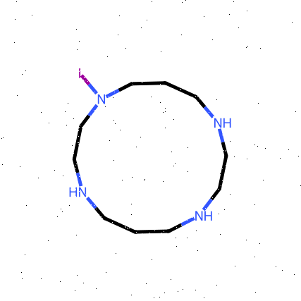 IN1CCCNCCNCCCNCC1